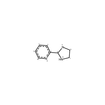 c1ccc(C2[N]CCN2)nc1